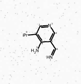 CC(C)c1cncc(C=N)c1N